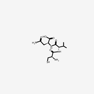 CC(C)[C@H](NC(=O)[C@@H](N)CS)C(=O)N[C@@H](CC(N)=O)C(=O)O